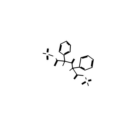 CC(C(=O)OS(C)(=O)=O)(C(=O)C(C)(C(=O)OS(C)(=O)=O)c1ccccc1)c1ccccc1